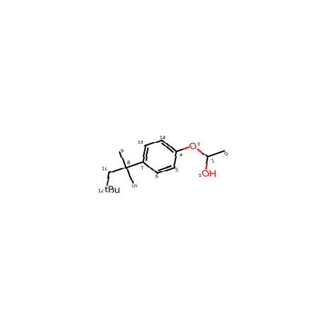 CC(O)Oc1ccc(C(C)(C)CC(C)(C)C)cc1